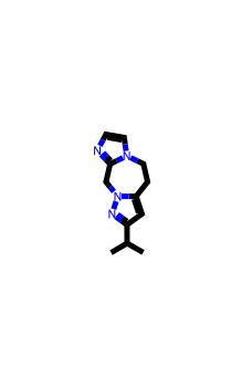 CC(C)c1cc2n(n1)Cc1nccn1CC2